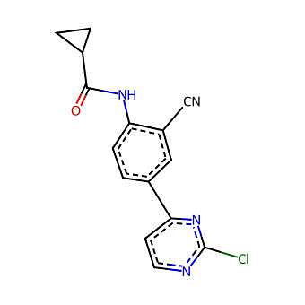 N#Cc1cc(-c2ccnc(Cl)n2)ccc1NC(=O)C1CC1